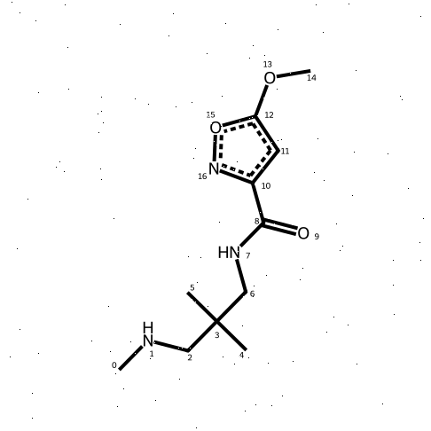 CNCC(C)(C)CNC(=O)c1cc(OC)on1